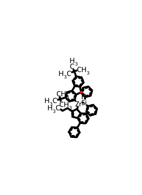 CCCC1=Cc2c(-c3ccccc3)cccc2[CH]1[Zr]([c]1cc(C(C)(C)C)cc2c1Cc1ccc(C(C)(C)C)cc1-2)[SiH](c1ccccc1)c1ccccc1